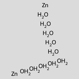 O.O.O.O.O.O.O.O.O.O.[Zn].[Zn]